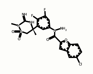 CN1C(=N)N[C@](C)(c2cc(N(N)C(=O)c3cc4cc(Cl)ccc4o3)cc(F)c2F)CS1(=O)=O